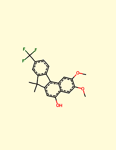 COc1cc2c(O)cc3c(c2cc1OC)-c1ccc(C(F)(F)F)cc1C3(C)C